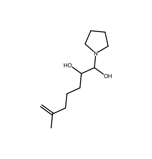 C=C(C)CCCC(O)C(O)N1CCCC1